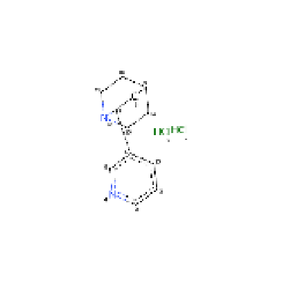 Cl.Cl.c1cncc(C2CC3CCN2CC3)c1